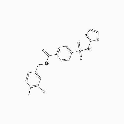 Cc1ccc(CNC(=O)c2ccc(S(=O)(=O)Nc3nccs3)cc2)cc1Cl